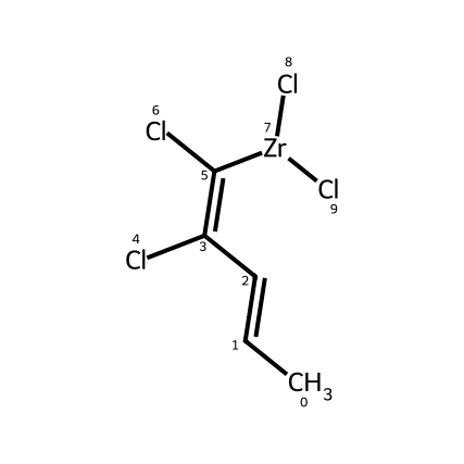 CC=CC(Cl)=[C](Cl)[Zr]([Cl])[Cl]